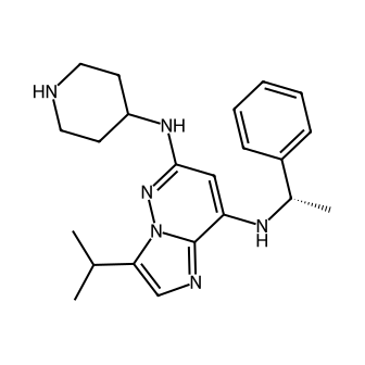 CC(C)c1cnc2c(N[C@@H](C)c3ccccc3)cc(NC3CCNCC3)nn12